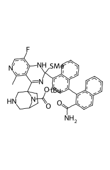 CSC1(c2ccc(-c3c(C(N)=O)ccc4ccccc34)c3ccccc23)N=C(C23CCC(CNC2)N3C(=O)OC(C)(C)C)c2c(C)ncc(F)c2N1